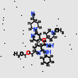 CCOCc1cc(-c2ccc(N3CCC(C#N)CC3)nc2)c(C(=N)OC2CCN(C)CC2)c(Nc2ccccc2)n1